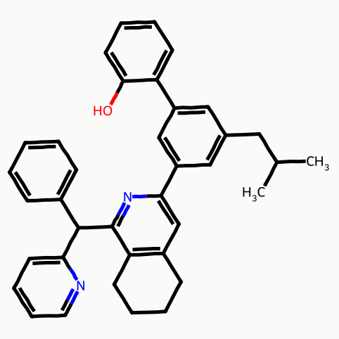 CC(C)Cc1cc(-c2cc3c(c(C(c4ccccc4)c4ccccn4)n2)CCCC3)cc(-c2ccccc2O)c1